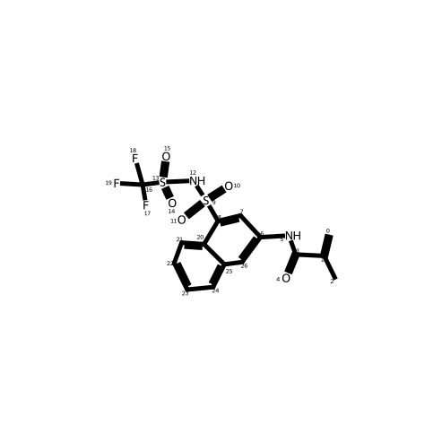 C=C(C)C(=O)Nc1cc(S(=O)(=O)NS(=O)(=O)C(F)(F)F)c2ccccc2c1